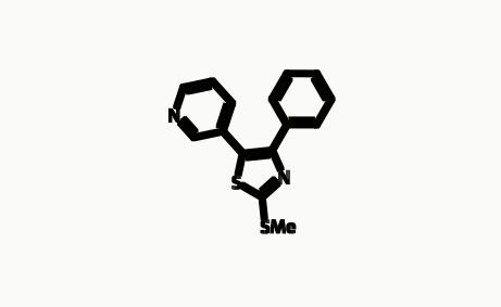 CSc1nc(-c2ccccc2)c(-c2cccnc2)s1